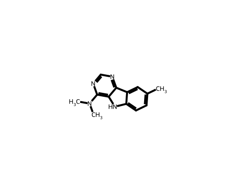 Cc1ccc2[nH]c3c(N(C)C)ncnc3c2c1